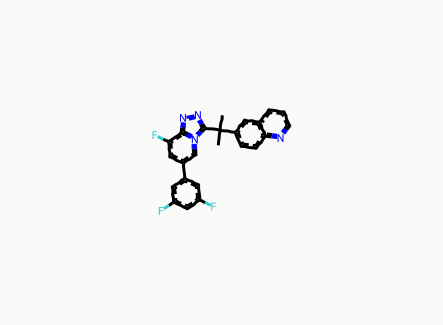 CC(C)(c1ccc2ncccc2c1)c1nnc2c(F)cc(-c3cc(F)cc(F)c3)cn12